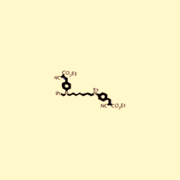 CCOC(=O)/C(C#N)=C/c1ccc(N(CC)CCCCCCCN(CC(C)C)c2ccc(/C=C(\C#N)C(=O)OCC)cc2)cc1